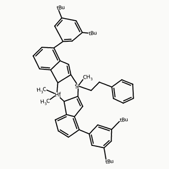 CC(C)(C)c1cc(-c2cccc3c2C=C2[CH]3[Hf]([CH3])([CH3])[CH]3C(=Cc4c(-c5cc(C(C)(C)C)cc(C(C)(C)C)c5)cccc43)[Si]2(C)CCc2ccccc2)cc(C(C)(C)C)c1